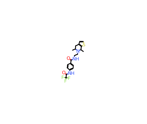 CC1Cc2ccsc2C(C)N1CCNC(=O)c1ccc(NC(=O)C(F)(F)F)cc1